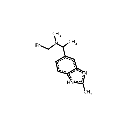 Cc1nc2cc(C(C)N(C)CC(C)C)ccc2[nH]1